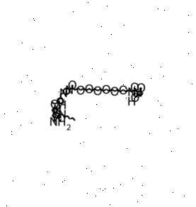 CCCCCNc1nc(N)cc2ccn(Cc3ccc(CN4CCN(C(=O)CCOCCOCCOCCOCCOCCOCCNC(=O)N5C(=O)C=CC5=O)CC4)cc3OC)c12